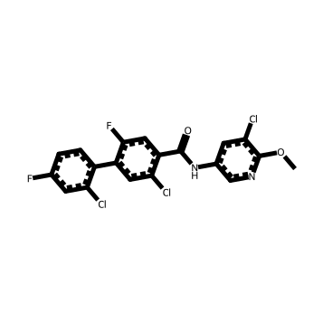 COc1ncc(NC(=O)c2cc(F)c(-c3ccc(F)cc3Cl)cc2Cl)cc1Cl